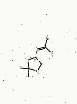 CC1(C)OC[C@@H](C=C(Br)Br)O1